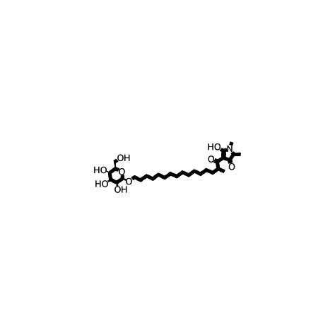 CC(CCCCCCCCCCCCCCO[C@@H]1O[C@H](CO)[C@@H](O)[C@H](O)[C@@H]1O)C(=O)C1=C(O)N(C)C(C)C1=O